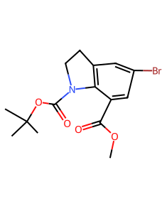 COC(=O)c1cc(Br)cc2c1N(C(=O)OC(C)(C)C)CC2